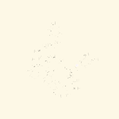 COc1cc(-c2[o+]c3cc(O)cc(OC4OC(CO)C(O)C(O)C4O)c3cc2OC2OC(COC(=O)/C=C/c3ccc(O)c(O)c3)C(O)C(O)C2OC2OC(COC(=O)c3ccc(O)cc3)C(O)C(O)C2O)ccc1O